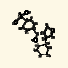 CS(=O)(=O)c1ccc(CO[C@H]2CCCC[C@@H]2c2ccoc2)cc1